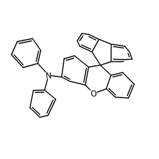 c1ccc(N(c2ccccc2)c2ccc3c(c2)Oc2ccccc2C32c3ccccc3-c3ccccc32)cc1